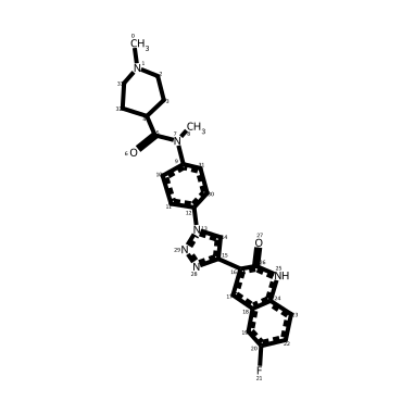 CN1CCC(C(=O)N(C)c2ccc(-n3cc(-c4cc5cc(F)ccc5[nH]c4=O)nn3)cc2)CC1